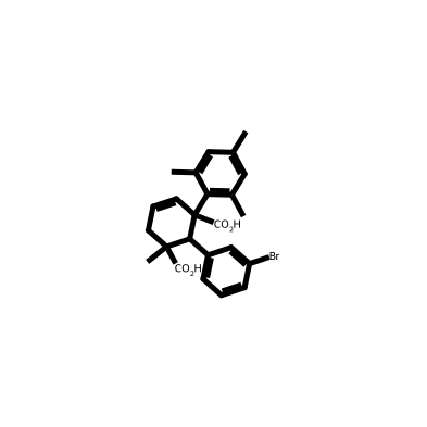 Cc1cc(C)c(C2(C(=O)O)C=CCC(C)(C(=O)O)C2c2cccc(Br)c2)c(C)c1